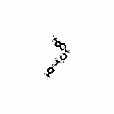 O=C(COc1ccc(C(F)(F)F)cc1)N[C@H]1CC[C@H](C(=O)N2CCc3cc(C(F)(F)F)ccc3C2)OC1